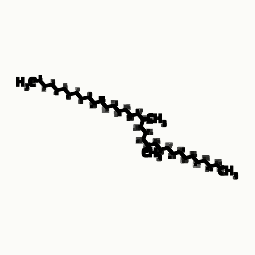 CCCCCCCCCCCCCCCCCCC(C)CCCC(C)CCCCCCCCCCCC